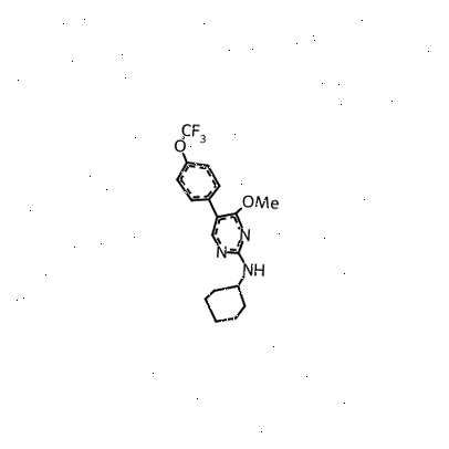 COc1nc(NC2CCCCC2)ncc1-c1ccc(OC(F)(F)F)cc1